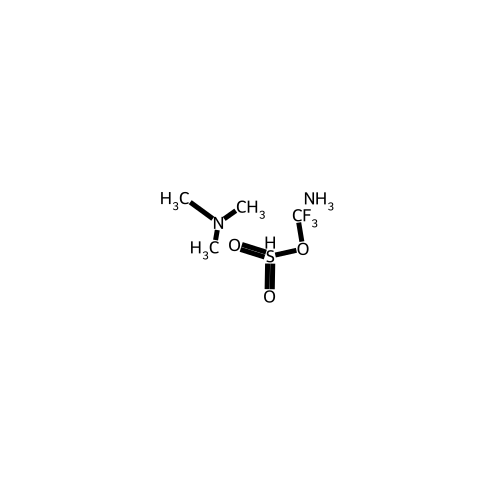 CN(C)C.N.O=[SH](=O)OC(F)(F)F